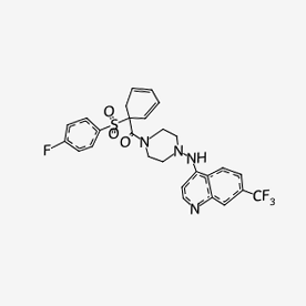 O=C(N1CCN(Nc2ccnc3cc(C(F)(F)F)ccc23)CC1)C1(S(=O)(=O)c2ccc(F)cc2)C=CC=CC1